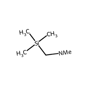 [CH2]NC[Si](C)(C)C